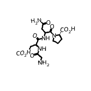 NCC(=O)NC(CC(=O)O)C(=O)NC(CC(N)=O)C(=O)N1CCC[C@H]1C(=O)O